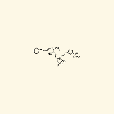 COC(=O)c1ccc(CCCN2C(=O)C(F)(F)C[C@@H]2/C=C/[C@@H](O)[C@@H](C)CC#CCCc2ccccc2)s1